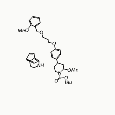 C1=CC2=C3C=C1C2CCN3.COc1ccccc1COCCCOc1ccc(C2CCN(C(=O)OC(C)(C)C)C(OC)C2)cc1